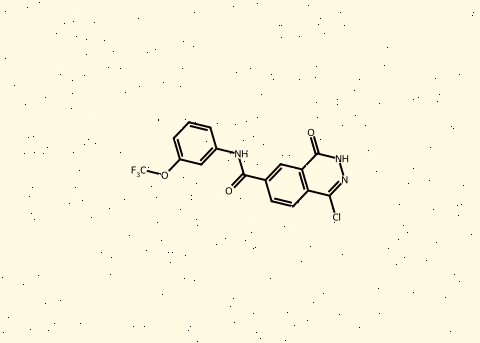 O=C(Nc1cccc(OC(F)(F)F)c1)c1ccc2c(Cl)n[nH]c(=O)c2c1